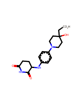 O=C(O)CC1(O)CCN(c2ccc(NC3CCC(=O)NC3=O)cc2)CC1